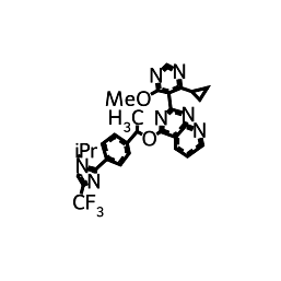 COc1ncnc(C2CC2)c1-c1nc(OC(C)c2ccc(-c3nc(C(F)(F)F)cn3C(C)C)cc2)c2cccnc2n1